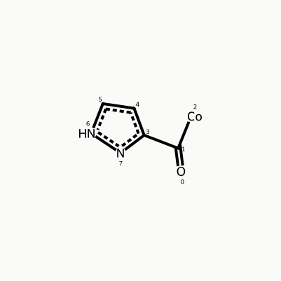 O=[C]([Co])c1cc[nH]n1